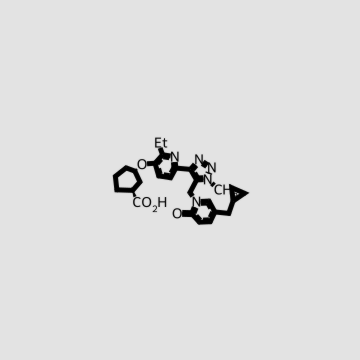 CCc1nc(-c2nnn(C)c2Cn2cc(CC3CC3)ccc2=O)ccc1O[C@H]1CCC[C@H](C(=O)O)C1